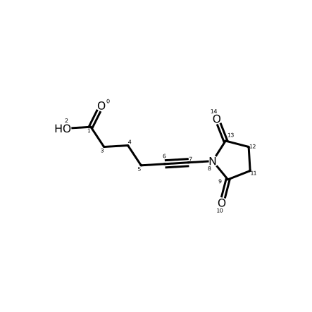 O=C(O)CCCC#CN1C(=O)CCC1=O